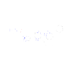 CCC1c2cc(-c3c(F)cccc3F)nnc2[C@](C)(c2cncc(-c3cnn(CC(N)=O)c3)n2)C1(C)C